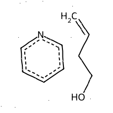 C=CCCO.c1ccncc1